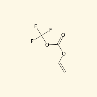 C=COC(=O)OC(F)(F)F